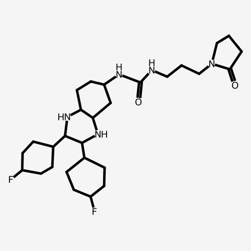 O=C(NCCCN1CCCC1=O)NC1CCC2NC(C3CCC(F)CC3)C(C3CCC(F)CC3)NC2C1